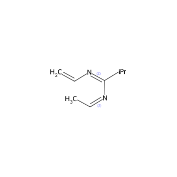 C=C/N=C(\N=C/C)C(C)C